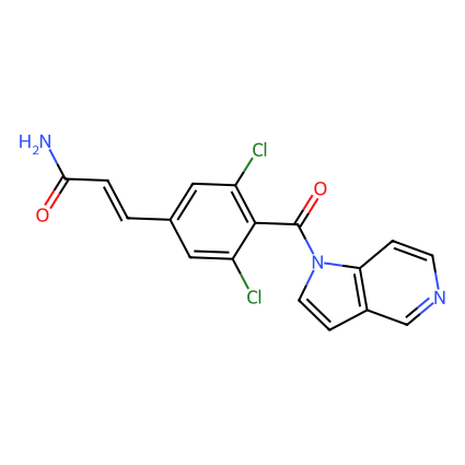 NC(=O)C=Cc1cc(Cl)c(C(=O)n2ccc3cnccc32)c(Cl)c1